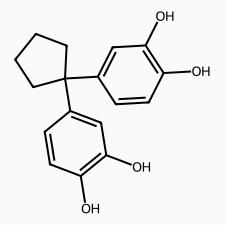 Oc1ccc(C2(c3ccc(O)c(O)c3)CCCC2)cc1O